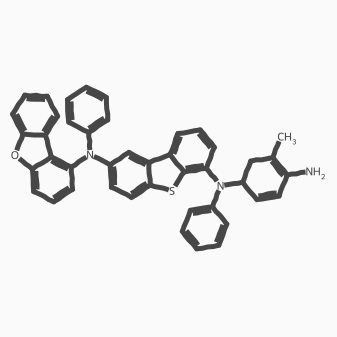 CC1=C(N)C=CC(N(c2ccccc2)c2cccc3c2sc2ccc(N(c4ccccc4)c4cccc5oc6ccccc6c45)cc23)C1